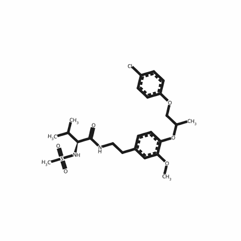 COc1cc(CCNC(=O)[C@@H](NS(C)(=O)=O)C(C)C)ccc1OC(C)COc1ccc(Cl)cc1